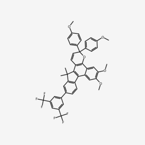 COc1ccc(C2(c3ccc(OC)cc3)C=Cc3c4c(c5cc(OC)c(OC)cc5c3O2)-c2ccc(-c3cc(C(F)(F)F)cc(C(F)(F)F)c3)cc2C4(C)C)cc1